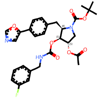 CC(=O)O[C@H]1CN(C(=O)OC(C)(C)C)[C@H](Cc2ccc(-c3cnco3)cc2)[C@@H]1OC(=O)NCc1cccc(F)c1